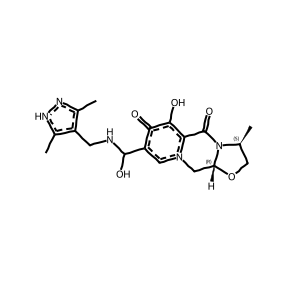 Cc1n[nH]c(C)c1CNC(O)c1cn2c(c(O)c1=O)C(=O)N1[C@@H](C)CO[C@@H]1C2